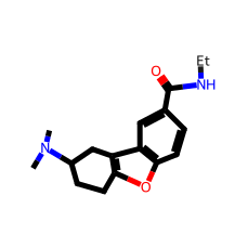 CCNC(=O)c1ccc2oc3c(c2c1)CC(N(C)C)CC3